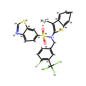 Cc1c(N(Cc2ccc(F)c(C(F)(F)F)c2)S(=O)(=O)c2ccc3ncsc3c2)sc2ccccc12